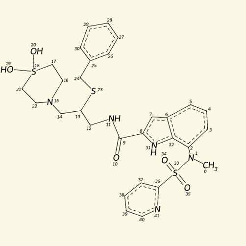 CN(c1cccc2cc(C(=O)NCC(CN3CCS(O)(O)CC3)SCc3ccccc3)[nH]c12)S(=O)(=O)c1ccccn1